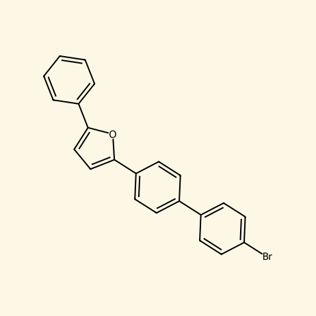 Brc1ccc(-c2ccc(-c3ccc(-c4ccccc4)o3)cc2)cc1